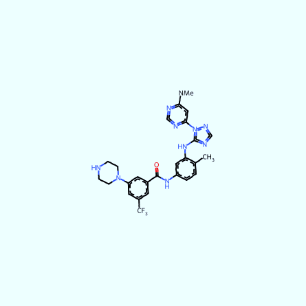 CNc1cc(-n2ncnc2Nc2cc(NC(=O)c3cc(N4CCNCC4)cc(C(F)(F)F)c3)ccc2C)ncn1